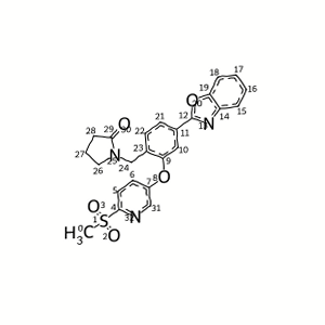 CS(=O)(=O)c1ccc(Oc2cc(-c3nc4ccccc4o3)ccc2CN2CCCC2=O)cn1